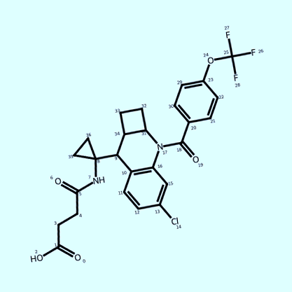 O=C(O)CCC(=O)NC1(C2c3ccc(Cl)cc3N(C(=O)c3ccc(OC(F)(F)F)cc3)C3CCC32)CC1